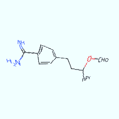 CCCC(CCc1ccc(C(=N)N)cc1)O[C]=O